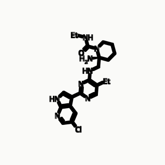 CCNC(=O)N1CCCC[C@]1(N)CNc1nc(-c2c[nH]c3ncc(Cl)cc23)ncc1CC